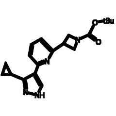 CC(C)(C)OC(=O)N1CC(c2cccc(-c3c[nH]nc3C3CC3)n2)C1